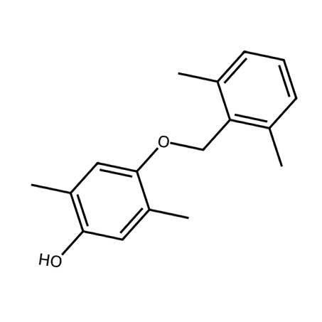 Cc1cc(OCc2c(C)cccc2C)c(C)cc1O